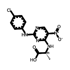 C[C@@H](Nc1nc(Nc2ccc(Cl)cc2)ncc1[N+](=O)[O-])C(=O)O